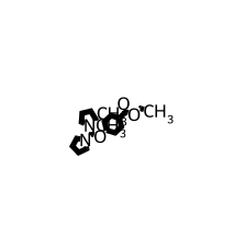 CCOC(=O)C1CCC(OC(N2CCCC2)N2CCCC2(C)C)CC1